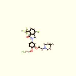 COc1ccc(N2Cc3c(F)ccc(C(F)(F)F)c3C2=O)cc1OCCN1CCC(C)CC1.Cl